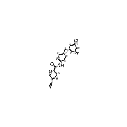 N#Cc1cnc(C(=O)Nc2ccc(Cc3cc(F)cc(Cl)c3)cn2)cn1